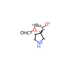 CC(C)(C)OC=O.O=C=C1CCNC1